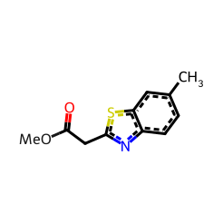 COC(=O)Cc1nc2ccc(C)cc2s1